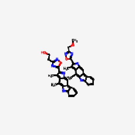 CC1=c2c(cc3c(c2C)N=c2ccccc2=3)N=C1c1nc(CCO)no1.COCc1noc(C2=Nc3cc4c(c(C)c3=C2C)N=c2ccccc2=4)n1